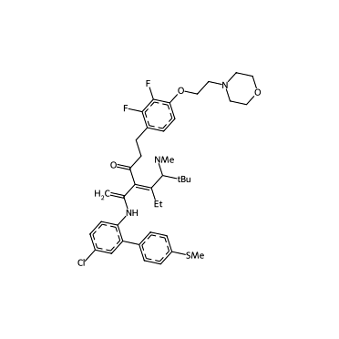 C=C(Nc1ccc(Cl)cc1-c1ccc(SC)cc1)/C(C(=O)CCc1ccc(OCCN2CCOCC2)c(F)c1F)=C(\CC)C(NC)C(C)(C)C